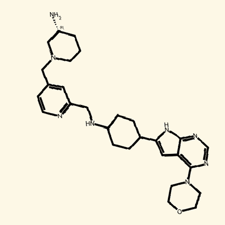 N[C@@H]1CCCN(Cc2ccnc(CNC3CCC(c4cc5c(N6CCOCC6)ncnc5[nH]4)CC3)c2)C1